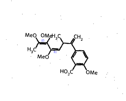 C=C(c1ccc(OC)c(C(=O)O)c1)C(C)/C=C(OC)\C(OC)=C(/C)OC